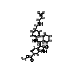 CCOC(=O)c1ccc2c(c1)NC(=O)/C2=C(/Nc1ccc(CNCCN(C)C)cc1)c1ccccc1